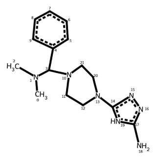 CN(C)C(c1ccccc1)N1CCN(c2nnc(N)[nH]2)CC1